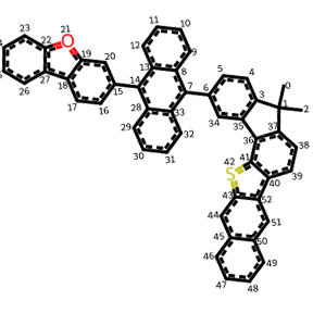 CC1(C)c2ccc(-c3c4ccccc4c(-c4ccc5c(c4)oc4ccccc45)c4ccccc34)cc2-c2c1ccc1c2sc2cc3ccccc3cc21